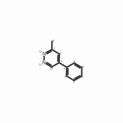 Cc1cc(-c2ccccc2)cnn1